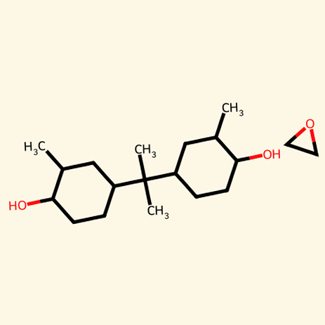 C1CO1.CC1CC(C(C)(C)C2CCC(O)C(C)C2)CCC1O